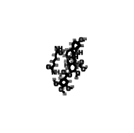 COC(=O)[C@H]1[C@H]2C[C@@H]3c4[nH]c5cc(OC)ccc5c4CCN3C[C@H]2C[C@@H](OC(=O)c2cc(OC)c(OC)c(OC)c2)[C@@H]1OC.NC(=O)CCCCC(N)=O